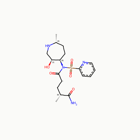 C[C@@H]1CC[C@@H](N(C(=O)[CH]C[C@@H](C)C(N)=O)S(=O)(=O)c2ccccn2)[C@@H](O)CN1